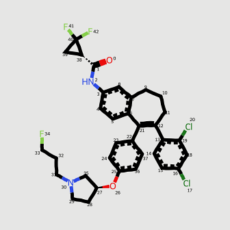 O=C(Nc1ccc2c(c1)CCCC(c1ccc(Cl)cc1Cl)=C2c1ccc(O[C@H]2CCN(CCCF)C2)cc1)[C@@H]1CC1(F)F